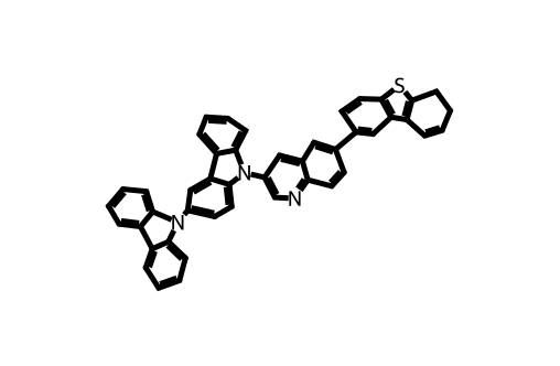 C1=Cc2c(sc3ccc(-c4ccc5ncc(-n6c7ccccc7c7cc(-n8c9ccccc9c9ccccc98)ccc76)cc5c4)cc23)CC1